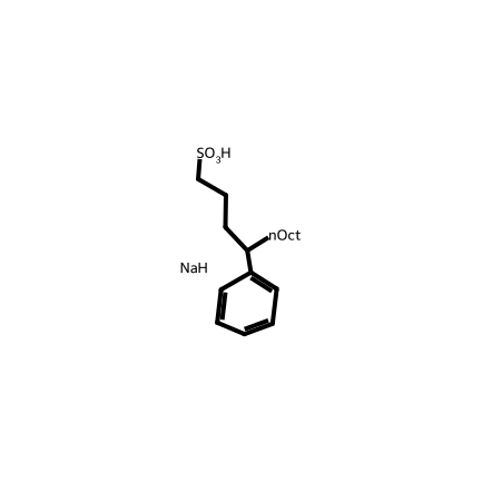 CCCCCCCCC(CCCS(=O)(=O)O)c1ccccc1.[NaH]